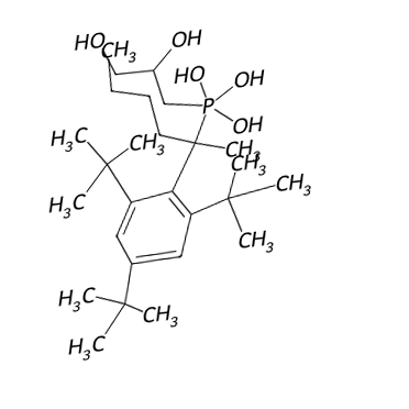 CCCCC(C)(c1c(C(C)(C)C)cc(C(C)(C)C)cc1C(C)(C)C)P(O)(O)(O)CC(O)CO